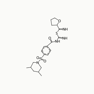 CC1CC(C)CN(S(=O)(=O)c2ccc(C(=O)NC(=N)SC(=N)C3CCCO3)cc2)C1